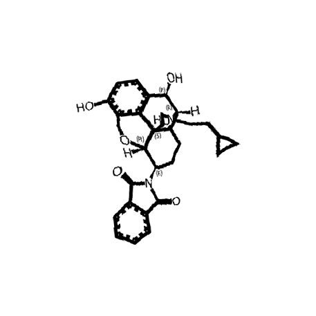 O=C1c2ccccc2C(=O)N1[C@@H]1CCC2(O)[C@H]3[C@H](O)c4ccc(O)c5c4[C@@]2(CCN3CC2CC2)[C@H]1O5